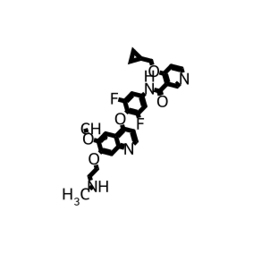 CNCCOc1cc2nccc(Oc3c(F)cc(NC(=O)c4cnccc4OCC4CC4)cc3F)c2cc1OC